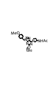 COc1ccc(Cn2nnc3c(N4CCC(NC(C)=O)C4)nc(OCC(C)(C)C)nc32)cc1